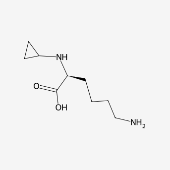 NCCCC[C@H](NC1CC1)C(=O)O